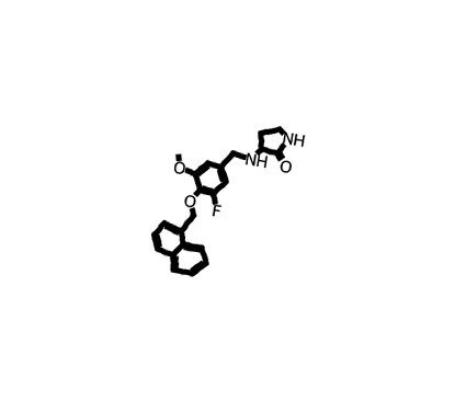 COc1cc(CNC2CCNC2=O)cc(F)c1OCc1cccc2ccccc12